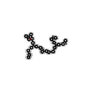 c1cc(-c2ccc(N(c3ccc(-c4ccc(-c5ccccc5-n5c6ccccc6c6ccccc65)cc4)cc3)c3ccc(-c4ccc5sc6c(-c7ccc8cc(-c9cccc(-c%10ccc(N(c%11ccc(-c%12ccc%13sc%14ccccc%14c%13c%12)cc%11)c%11ccc(-c%12cccc%13sc%14ccccc%14c%12%13)cc%11)cc%10)c9)ccc8c7)cccc6c5c4)cc3)cc2)cc(-c2ccc3ccccc3c2)c1